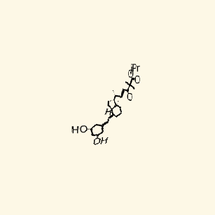 CC(C)OC(=O)C(C)(C)C(=O)/C=C/[C@@H](C)[C@H]1CC[C@H]2/C(=C/C=C3C[C@@H](O)C[C@H](O)C3)CCC[C@]12C